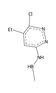 CBNc1cc(CC)c(Cl)nn1